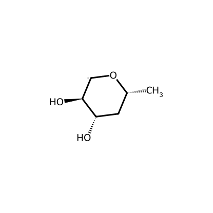 C[C@@H]1C[C@H](O)[C@@H](O)[CH]O1